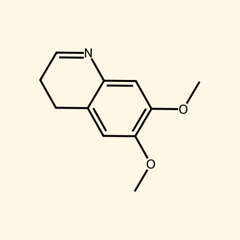 COc1cc2c(cc1OC)N=CCC2